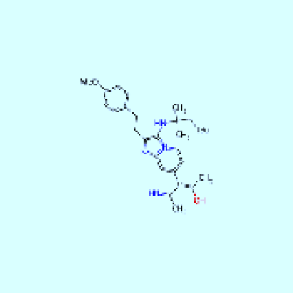 COc1ccc(CCc2nc3cc(/C(C(C)=N)=C(\C)O)ccn3c2NC(C)(C)CC(C)(C)C)cc1